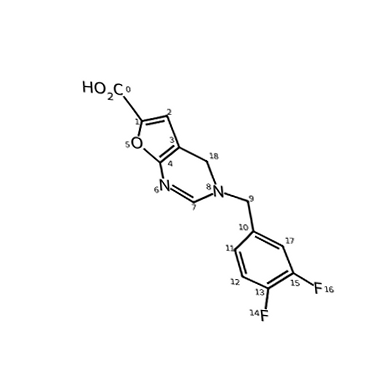 O=C(O)c1cc2c(o1)N=CN(Cc1ccc(F)c(F)c1)C2